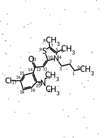 CCCCN1C(C)=C(C)S/C1=C\C(=O)c1cc(Cl)ccc1N(C)C